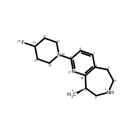 C[C@@H]1CNCCc2ccc(N3CCC(F)CC3)nc21